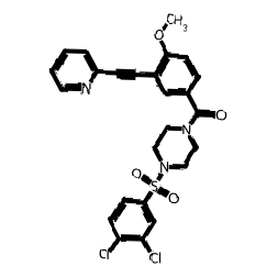 COc1ccc(C(=O)N2CCN(S(=O)(=O)c3ccc(Cl)c(Cl)c3)CC2)cc1C#Cc1ccccn1